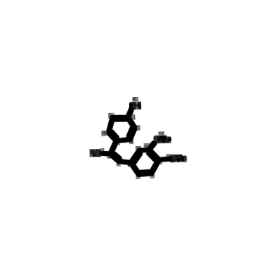 COc1ccc(C=C(C#N)c2ccc(O)cc2)cc1OC